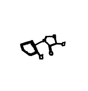 O=C1C(Cl)SCN1c1ccccc1Cl